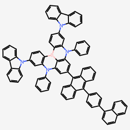 c1ccc(N2c3cc(-n4c5ccccc5c5ccccc54)ccc3B3c4ccc(-n5c6ccccc6c6ccccc65)cc4N(c4ccccc4)c4cc(-c5c6ccccc6c(-c6ccc(-c7cccc8ccccc78)cc6)c6ccccc56)cc2c43)cc1